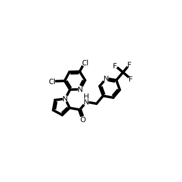 O=C(NCc1ccc(C(F)(F)F)nc1)c1cccn1-c1ncc(Cl)cc1Cl